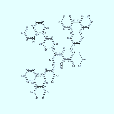 C1=c2c(-c3ccc4c5ccccc5c5ccccc5c4c3)cc3c(-c4ccc(-c5cccc6cccnc56)cc4)cc(-c4ccc5c6ccccc6c6ccccc6c5c4)nc3c2=CCC1